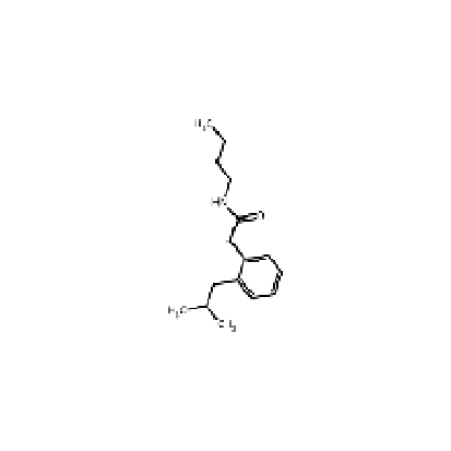 CCCCNC(=O)[CH]c1ccccc1CC(C)C